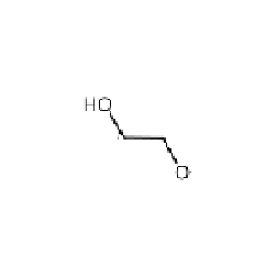 [O]C[CH]O